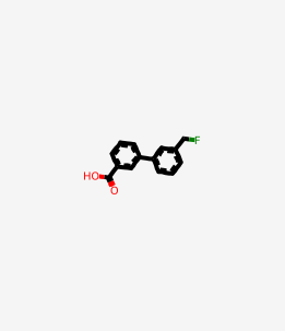 O=C(O)c1cccc(-c2cccc(CF)c2)c1